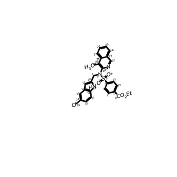 CCOC(=O)c1ccc(S(=O)(=O)N(Cc2cc3cc(Cl)ccc3[nH]2)c2ncc3ccccc3c2C)cc1